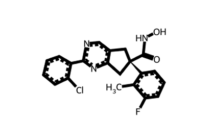 Cc1c(F)cccc1[C@]1(C(=O)NO)Cc2cnc(-c3ccccc3Cl)nc2C1